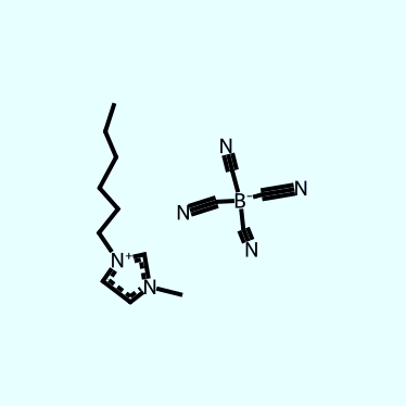 CCCCCC[n+]1ccn(C)c1.N#C[B-](C#N)(C#N)C#N